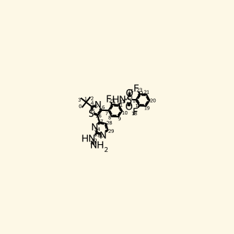 CC(C)(C)c1nc(-c2cccc(NS(=O)(=O)c3c(F)cccc3F)c2F)c(-c2ccnc(NN)n2)s1